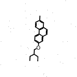 CCC(CC)COc1ccc2c(ccc3cc(C)ccc32)c1